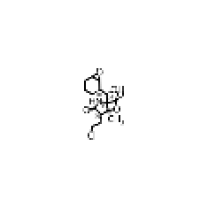 C[C@@]12OC(=O)[C@]1([C@@H](O)[C@H]1CCCC3OC31)NC(=O)[C@@H]2CCCl